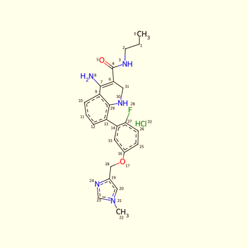 CCCNC(=O)C1=C(N)c2cccc(-c3cc(OCc4cn(C)cn4)ccc3F)c2NC1.Cl